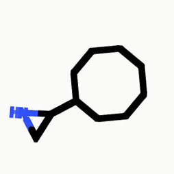 C1CCCC(C2CN2)CCC1